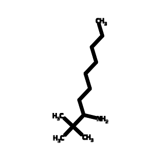 CCCCCCCC(N)C(C)(C)C